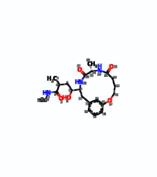 CCCCNC(=O)C(C)CC(O)C1Cc2cccc(c2)OCCCC(=O)N[C@@H](C)C(=O)N1